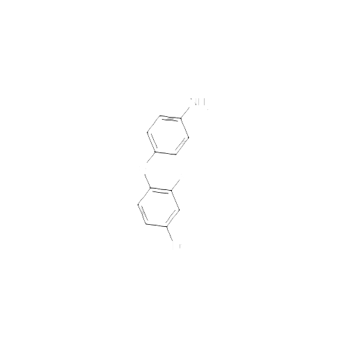 CCc1ccc(Oc2ccc(N)cc2)c(Cl)c1